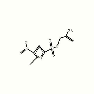 NC(=O)COS(=O)(=O)c1cc([N+](=O)[O-])c(Cl)s1